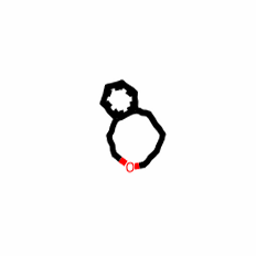 c1ccc2c(c1)CCCCOCC2